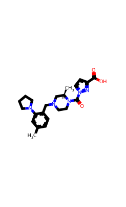 Cc1ccc(CN2CCN(C(=O)n3ccc(C(=O)O)n3)[C@H](C)C2)c(N2CCCC2)c1